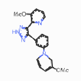 COC1=CC=CN(c2cccc(-c3n[nH]nc3-c3ncccc3OC)c2)C1